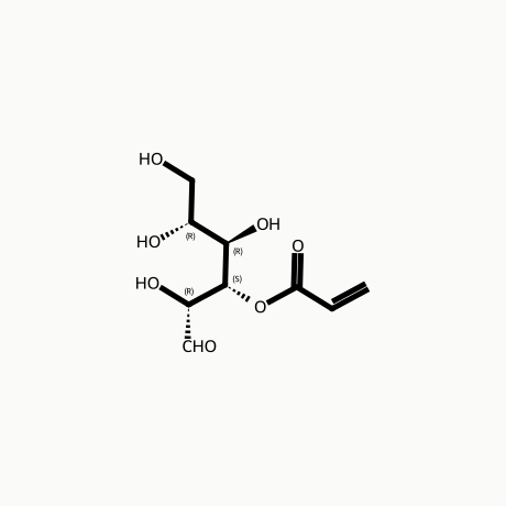 C=CC(=O)O[C@@H]([C@H](O)[C@H](O)CO)[C@@H](O)C=O